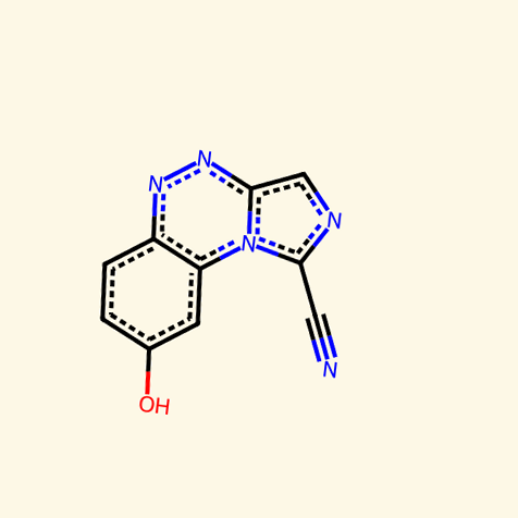 N#Cc1ncc2nnc3ccc(O)cc3n12